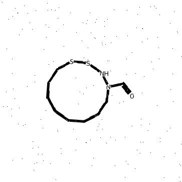 O=[C]N1CCCCCCCCSSN1